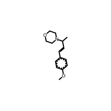 COc1ccc(C=CC(C)N2CCOCC2)cc1